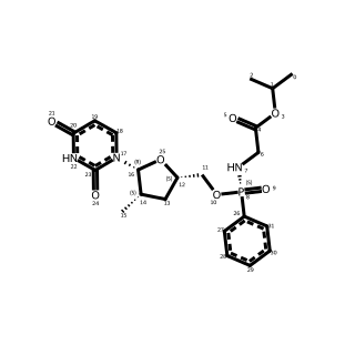 CC(C)OC(=O)CN[P@@](=O)(OC[C@@H]1C[C@H](C)[C@H](n2ccc(=O)[nH]c2=O)O1)c1ccccc1